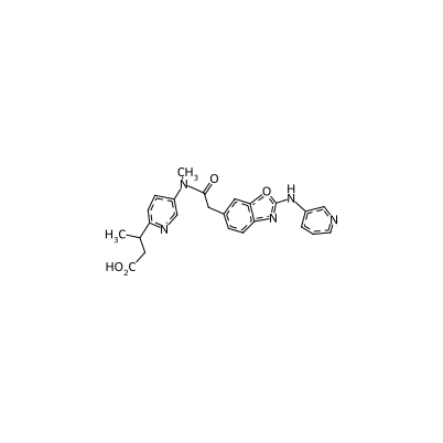 CC(CC(=O)O)c1ccc(N(C)C(=O)Cc2ccc3nc(Nc4cccnc4)oc3c2)cn1